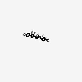 COC1CCC(c2ccc(-c3ccc(CCc4ccc(C5CO5)cc4F)cc3)c(F)c2F)CC1